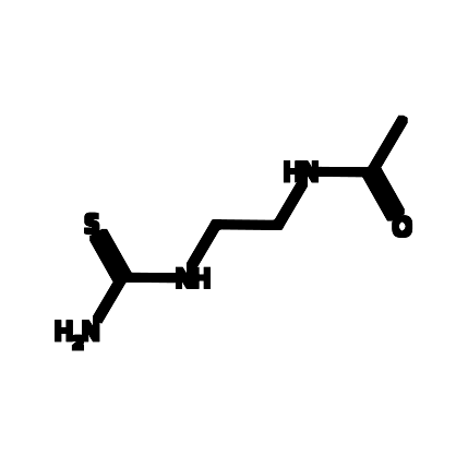 CC(=O)NCCNC(N)=S